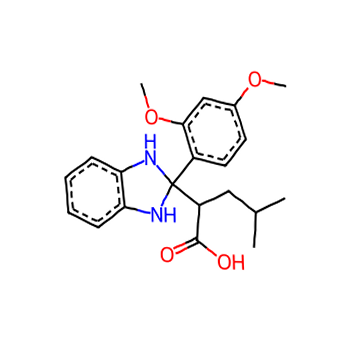 COc1ccc(C2(C(CC(C)C)C(=O)O)Nc3ccccc3N2)c(OC)c1